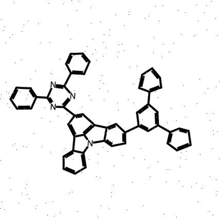 c1ccc(-c2cc(-c3ccccc3)cc(-c3ccc4c(c3)c3cc(-c5nc(-c6ccccc6)nc(-c6ccccc6)n5)cc5c6ccccc6n4c53)c2)cc1